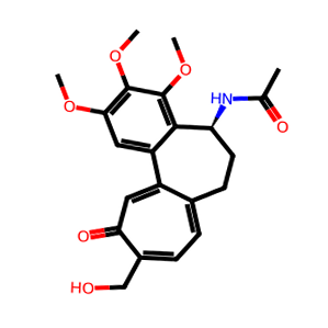 COc1cc2c(c(OC)c1OC)[C@@H](NC(C)=O)CCc1ccc(CO)c(=O)cc1-2